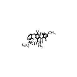 CNSNc1nccc(Cc2cc(C(N)=O)c(Nc3ccc(C)cc3F)n(C)c2=O)c1F